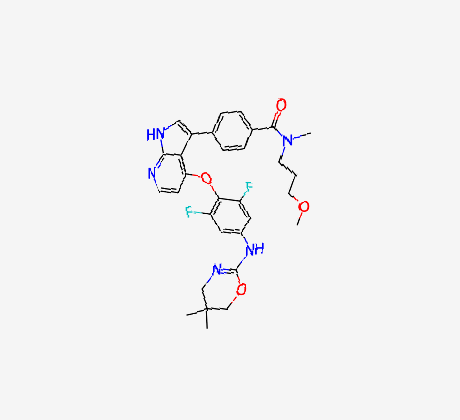 COCCCN(C)C(=O)c1ccc(-c2c[nH]c3nccc(Oc4c(F)cc(NC5=NCC(C)(C)CO5)cc4F)c23)cc1